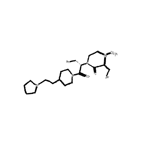 CC(C)CC1C(=O)N([C@@H](CC(C)C)C(=O)N2CCC(CCN3CCCC3)CC2)CCN1C(=O)O